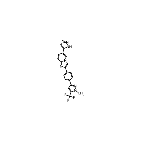 Cn1nc(-c2ccc(-c3cn4nc(-c5nnn[nH]5)ccc4n3)cc2)cc1C(F)(F)F